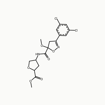 COC(=O)C1CC(NC(=O)C2(OC)CC(c3cc(Cl)cc(Cl)c3)=NO2)CO1